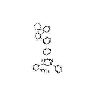 Oc1ccccc1-c1cc(-c2ccccc2)nc(-c2ccc(-c3cccc(-c4cccc5c4-c4cc#ccc4C54CCCCC4)c3)cc2)n1